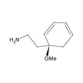 CO[C@@]1(CCN)C=CC=CC1